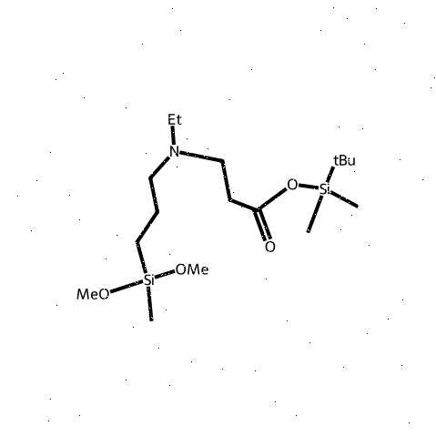 CCN(CCC[Si](C)(OC)OC)CCC(=O)O[Si](C)(C)C(C)(C)C